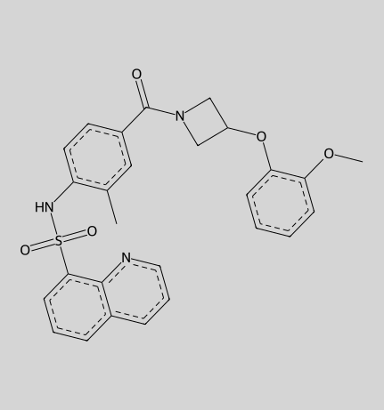 COc1ccccc1OC1CN(C(=O)c2ccc(NS(=O)(=O)c3cccc4cccnc34)c(C)c2)C1